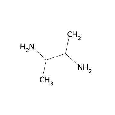 [CH2]C(N)C(C)N